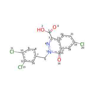 O=C(O)c1nn(Cc2ccc(Cl)c(Cl)c2)c(=O)c2cc(Cl)ccc12